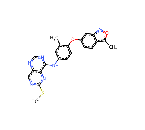 CSc1ncc2ncnc(Nc3ccc(Oc4ccc5c(C)onc5c4)c(C)c3)c2n1